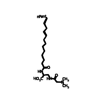 CCCCCC=CCC=CCCCCCCCC(=O)NC(CNC(=O)CN(C)C)C(=O)O